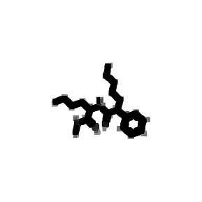 CCCCCC(C(=O)NC(CCCC)C(=O)OC)c1ccccc1